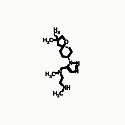 CNCCN(C)Cc1cnnn1[C@H]1CC[C@]2(CC1)CC(C)(C)CO2